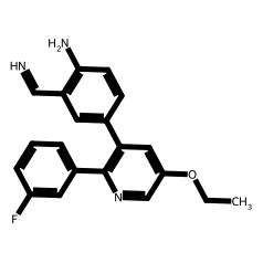 CCOc1cnc(-c2cccc(F)c2)c(-c2ccc(N)c(C=N)c2)c1